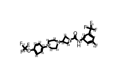 O=C(Nc1cc(F)cc(C(F)(F)F)c1)N1CC(N2CCN(c3ccc(OC(F)(F)F)cc3)CC2)C1